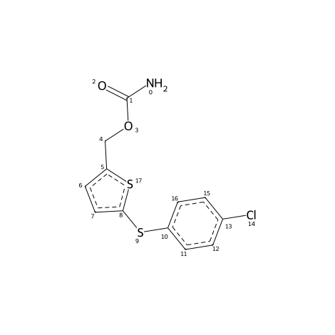 NC(=O)OCc1ccc(Sc2ccc(Cl)cc2)s1